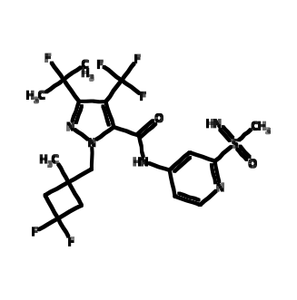 CC1(Cn2nc(C(C)(C)F)c(C(F)(F)F)c2C(=O)Nc2ccnc(S(C)(=N)=O)c2)CC(F)(F)C1